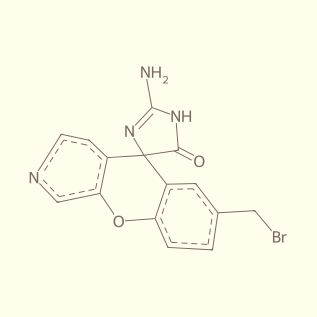 NC1=NC2(C(=O)N1)c1ccncc1Oc1ccc(CBr)cc12